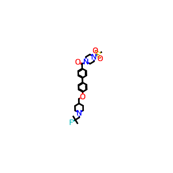 CC(C)(F)CN1CCC(COc2ccc(-c3ccc(C(=O)N4CCN(S(C)(=O)=O)CC4)cc3)cc2)CC1